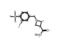 COC(=O)C1CN(Cc2ccc([Si](C)(C)C)c(F)c2)C1